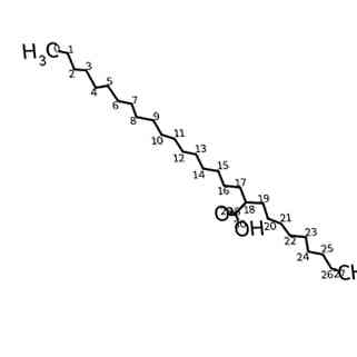 CCCCCCCCCCCCCCCCCCC(CCCCCCCCC)C(=O)O